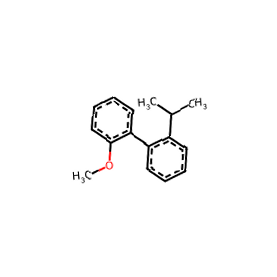 COc1ccccc1-c1ccccc1C(C)C